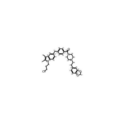 Cc1c(C)n(CCCCl)c2ccc(Cc3ccc(C(=O)N4CCN(CCc5ccc6c(c5)OCO6)CC4)cc3)cc12